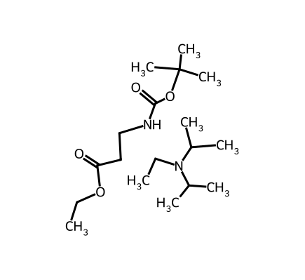 CCN(C(C)C)C(C)C.CCOC(=O)CCNC(=O)OC(C)(C)C